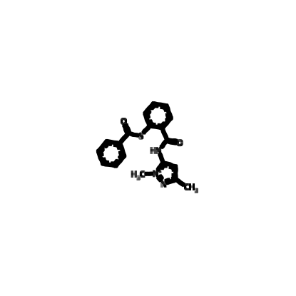 Cc1cc(NC(=O)c2ccccc2SC(=O)c2ccccc2)n(C)n1